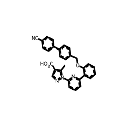 Cc1c(C(=O)O)cnn1-c1cccc(-c2ccccc2OCc2ccc(-c3ccc(C#N)cc3)cc2)n1